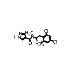 CC(Cc1c(Cl)cc(Cl)cc1Cl)N(C)C(=O)c1cn[nH]c1